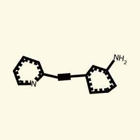 Nc1cccc(C#Cc2ccccn2)c1